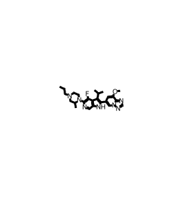 CCCN1CCN(c2ncc3[nH]c(-c4cc(OC)c5ncnn5c4)c(C(C)C)c3c2F)C(C)C1